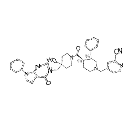 N#Cc1cc(CN2CC[C@@H](C(=O)N3CCC(O)(Cn4cnc5c(ccn5-c5ccccc5)c4=O)CC3)[C@H](c3ccccc3)C2)ccn1